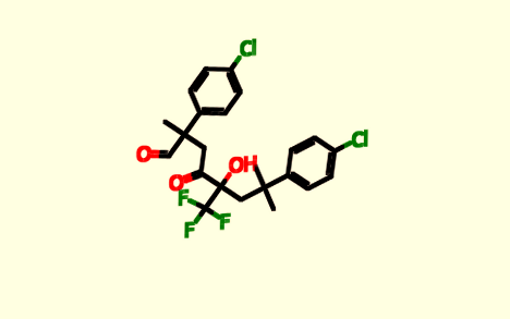 CC(C)(CC(O)(C(=O)CC(C)(C=O)c1ccc(Cl)cc1)C(F)(F)F)c1ccc(Cl)cc1